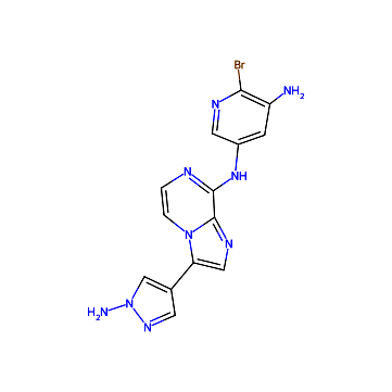 Nc1cc(Nc2nccn3c(-c4cnn(N)c4)cnc23)cnc1Br